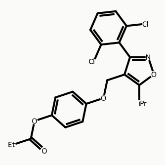 CCC(=O)Oc1ccc(OCc2c(-c3c(Cl)cccc3Cl)noc2C(C)C)cc1